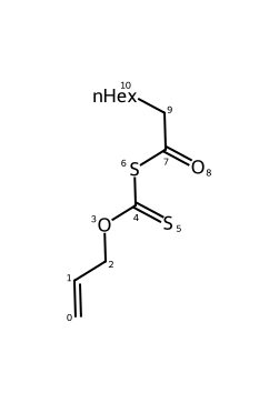 C=CCOC(=S)SC(=O)CCCCCCC